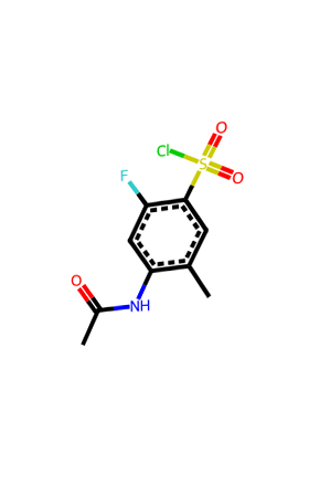 CC(=O)Nc1cc(F)c(S(=O)(=O)Cl)cc1C